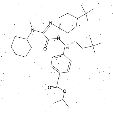 CC(C)OC(=O)c1ccc([C@@H](CCC(C)(C)C)N2C(=O)C(N(C)C3CCCCC3)=NC23CCC(C(C)(C)C)CC3)cc1